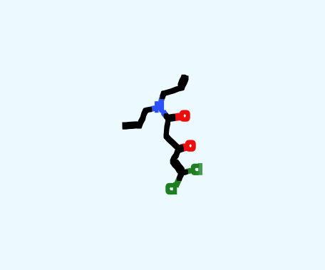 C=CCN(CC=C)C(=O)CC(=O)C=C(Cl)Cl